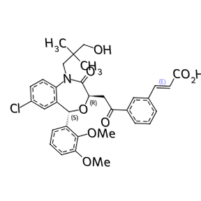 COc1cccc([C@H]2O[C@H](CC(=O)c3cccc(/C=C/C(=O)O)c3)C(=O)N(CC(C)(C)CO)c3ccc(Cl)cc32)c1OC